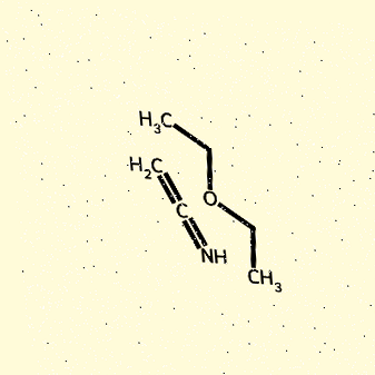 C=C=N.CCOCC